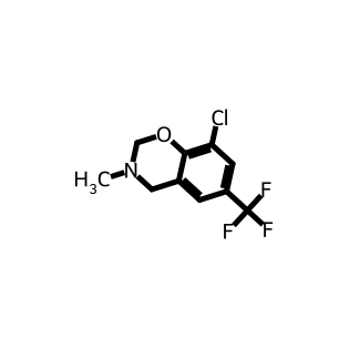 CN1COc2c(Cl)cc(C(F)(F)F)cc2C1